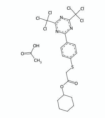 CC(=O)O.O=C(CSc1ccc(-c2nc(C(Cl)(Cl)Cl)nc(C(Cl)(Cl)Cl)n2)cc1)OC1CCCCC1